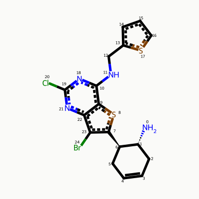 N[C@@H]1CC=CC[C@H]1c1sc2c(NCc3cccs3)nc(Cl)nc2c1Br